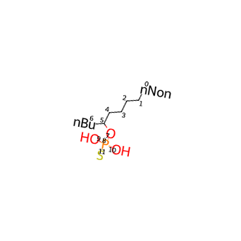 CCCCCCCCCCCCCC(CCCC)OP(O)(O)=S